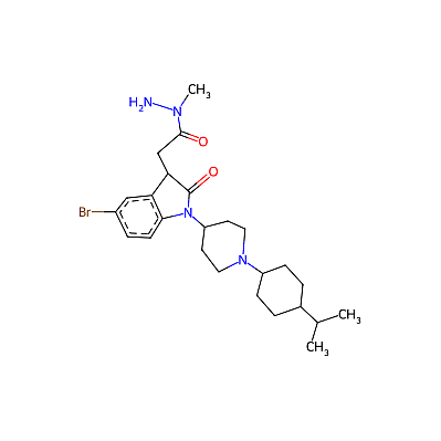 CC(C)C1CCC(N2CCC(N3C(=O)C(CC(=O)N(C)N)c4cc(Br)ccc43)CC2)CC1